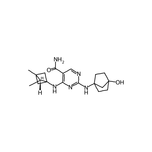 C[C@@H]1C2(C)CC1(Nc1nc(NC34CCC(O)(CC3)C4)ncc1C(N)=O)C2